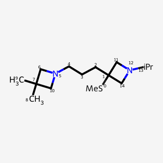 CSC1(CCCN2CC(C)(C)C2)CN(C(C)C)C1